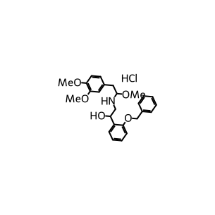 COc1ccc(CC(NCC(O)c2ccccc2OCc2ccccc2)OC)cc1OC.Cl